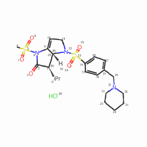 CC(C)[C@H]1C(=O)N(S(C)(=O)=O)C2=CCN(S(=O)(=O)c3ccc(CN4CCCCC4)cc3)[C@@H]21.Cl